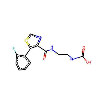 O=C(O)NCCNC(=O)c1ncsc1-c1ccccc1F